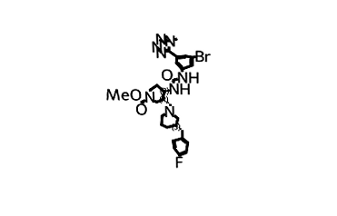 COC(=O)N1CC[C@@H](NC(=O)Nc2cc(Br)cc(-c3nnnn3C)c2)[C@H](CN2CCC[C@@H](Cc3ccc(F)cc3)C2)C1